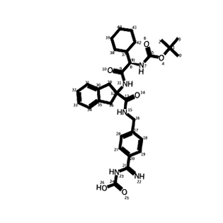 CC(C)(C)OC(=O)N[C@@H](C(=O)NC1(C(=O)NCc2ccc(C(=N)NC(=O)O)cc2)Cc2ccccc2C1)C1CCCCC1